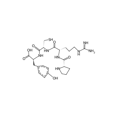 N=C(N)NCCC[C@H](NC(=O)[C@@H]1CCCN1)C(=O)N[C@@H](CS)C(=O)N[C@@H](Cc1ccc(O)cc1)C(=O)O